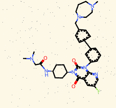 CN(C)CC(=O)N[C@H]1CC[C@@H](n2c(=O)c3cc(F)cnc3n(-c3cccc(-c4ccc(CN5CCCN(C)CC5)cc4)c3)c2=O)CC1